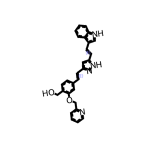 OCc1ccc(/C=C/c2cc(/C=C/c3c[nH]c4ccccc34)[nH]n2)cc1OCc1ccccn1